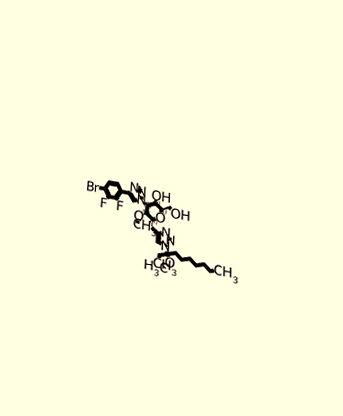 CCCCCCCC(CC)(OC)n1cc(C[C@H]2O[C@H](CO)[C@H](O)[C@H](n3cc(-c4ccc(Br)c(F)c4F)nn3)[C@H]2OC)nn1